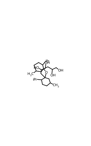 CC1CCC(C(C)C)C(CC(O)CO)(OC2(CC(O)CO)CC(C)CCC2C(C)C)C1